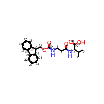 CC(C)[C@H](NC(=O)CCNC(=O)OCC1c2ccccc2-c2ccccc21)C(=O)O